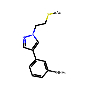 CC(=O)Nc1cccc(-c2cnn(CCSC(C)=O)c2)c1